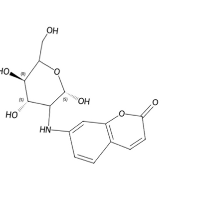 O=c1ccc2ccc(NC3[C@@H](O)OC(CO)[C@H](O)[C@H]3O)cc2o1